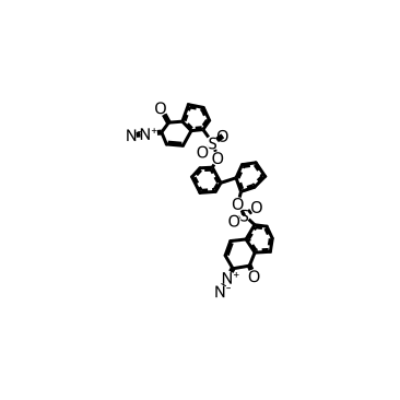 [N-]=[N+]=C1C=Cc2c(cccc2S(=O)(=O)Oc2ccccc2-c2ccccc2OS(=O)(=O)c2cccc3c2C=CC(=[N+]=[N-])C3=O)C1=O